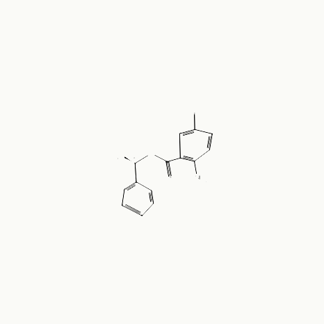 Cc1ccc(N)c(C(=O)O[C@H](C)c2ccccc2)c1